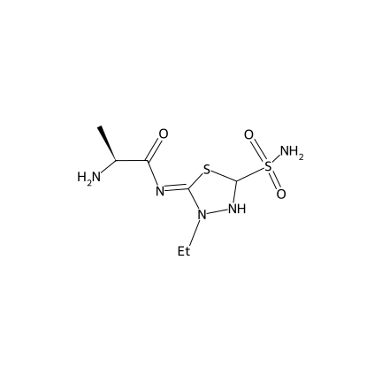 CCN1NC(S(N)(=O)=O)SC1=NC(=O)[C@H](C)N